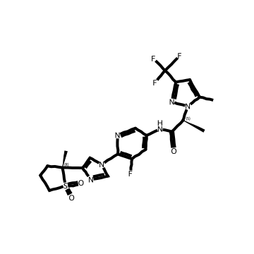 Cc1cc(C(F)(F)F)nn1[C@@H](C)C(=O)Nc1cnc(-n2cnc([C@@]3(C)CCCS3(=O)=O)c2)c(F)c1